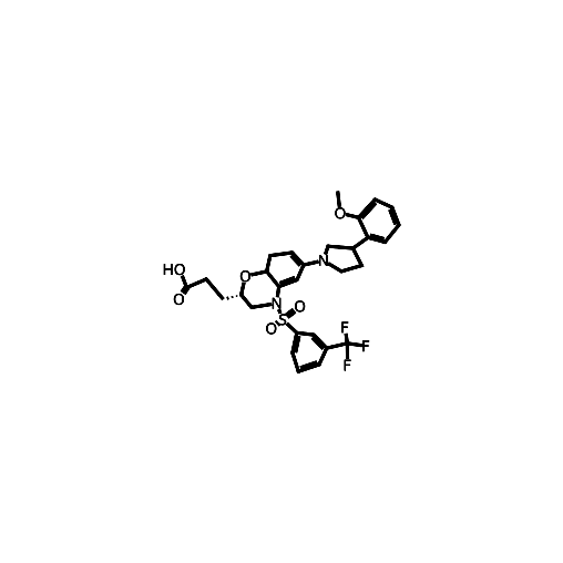 COc1ccccc1C1CCN(C2=CCC3O[C@@H](CCC(=O)O)CN(S(=O)(=O)c4cccc(C(F)(F)F)c4)C3=C2)C1